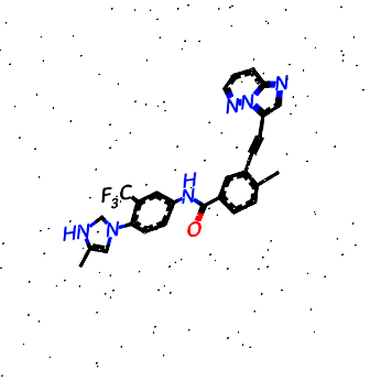 CC1=CN(c2ccc(NC(=O)c3ccc(C)c(C#Cc4cnc5cccnn45)c3)cc2C(F)(F)F)CN1